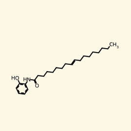 CCCCCCCCC=CCCCCCCCC(=O)Nc1ccccc1O